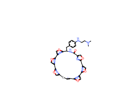 CN(C)CCNc1ccc(CC2NC(=O)c3coc(n3)-c3coc(n3)-c3coc(n3)/C=C/Cc3coc(n3)-c3coc(n3)-c3coc2n3)cc1